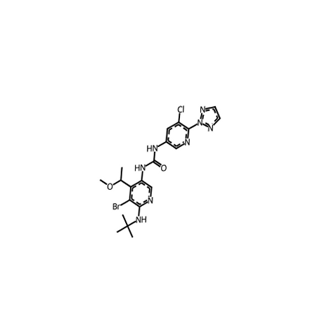 COC(C)c1c(NC(=O)Nc2cnc(-n3nccn3)c(Cl)c2)cnc(NC(C)(C)C)c1Br